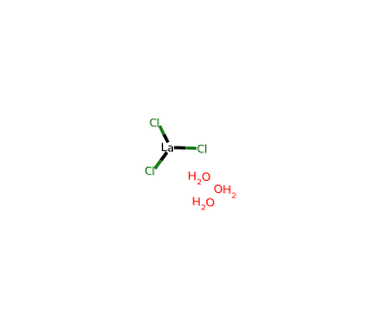 O.O.O.[Cl][La]([Cl])[Cl]